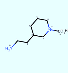 NCCC1CCCN(C(=O)O)C1